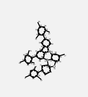 Cc1cc(C)c(-c2ccc3c(c2)B2c4c(cc(C)cc4-n4c5ccc(-c6c(C)cc(C)cc6C)cc5c5cc(-c6c(C)cc(C)cc6C)cc2c54)O3)c(C)c1